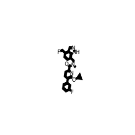 CN(Cc1ccc(CF)c2cn[nH]c12)C(=O)c1ccc(-c2cccc(F)c2)c(OC2CC2)n1